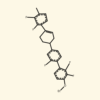 CCOc1ccc(-c2ccc(C3CC=C(c4ccc(C)c(F)c4F)CC3)cc2F)c(F)c1F